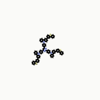 c1ccc2c(c1)sc1ccc(-c3ccc4c(c3)c3ccccc3n4-c3ccc(-c4cc(-c5ccc(-n6c7ccccc7c7cc(-c8ccc9sc%10ccccc%10c9c8)ccc76)cc5)nc(-c5ccc(-n6c7ccccc7c7cc(-c8ccc9sc%10ccccc%10c9c8)ccc76)cc5)n4)cc3)cc12